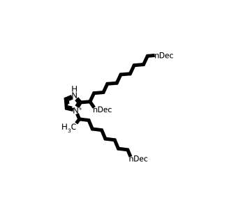 CCCCCCCCCCCCCCCCCCCC(CCCCCCCCCC)c1[nH]cc[n+]1C(C)CCCCCCCCCCCCCCCCC